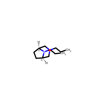 CCCN1C[C@H]2CC[C@@H](C1)N2CCC